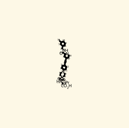 CC(C)[C@@H](NS(=O)(=O)N1CCN(c2ccc(C#Cc3ccnc(C(=O)NCc4cccc(I)c4)c3)cc2)CC1)C(=O)O